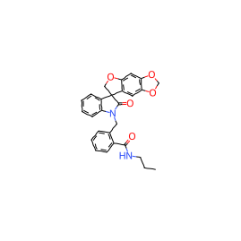 CCCNC(=O)c1ccccc1CN1C(=O)C2(COc3cc4c(cc32)OCO4)c2ccccc21